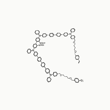 C=Cc1ccc(COCCCCOCc2ccc(N(c3ccccc3)c3ccc(-c4ccc(-c5ccc(-c6ccc(N(c7ccccc7)c7ccc(-c8ccc(N(c9ccccc9)c9ccc(-c%10ccc(-c%11ccc(-c%12ccc(N(c%13ccccc%13)c%13ccc(COCCCCOCc%14ccc(CC)cc%14)cc%13)cc%12)cc%11)cc%10)cc9)cc8CCCCCC)c(CCCCCC)c7)cc6)cc5)cc4)cc3)cc2)cc1